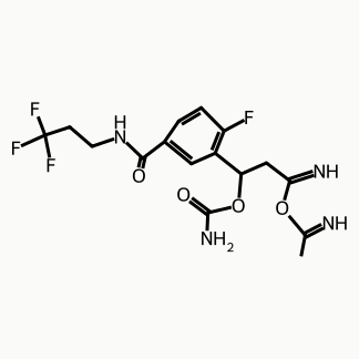 CC(=N)OC(=N)CC(OC(N)=O)c1cc(C(=O)NCCC(F)(F)F)ccc1F